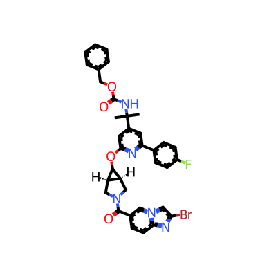 CC(C)(NC(=O)OCc1ccccc1)c1cc(OC2[C@H]3CN(C(=O)c4ccc5nc(Br)cn5c4)C[C@@H]23)nc(-c2ccc(F)cc2)c1